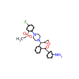 CCS(=O)(=O)c1cc(F)ccc1N1CCN(C(c2ccccc2C(=O)c2cccc(N)c2)C2CO2)CC1